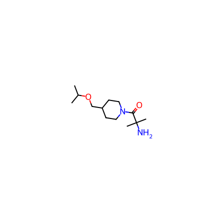 CC(C)OCC1CCN(C(=O)C(C)(C)N)CC1